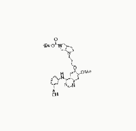 C#Cc1cccc(Nc2ncnc3cc(OC)c(OCCCN4CCC5CN(C(=O)OC(C)(C)C)CC54)cc23)c1